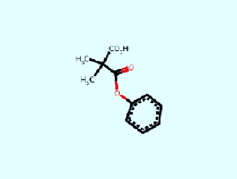 CC(C)(C(=O)O)C(=O)Oc1ccccc1